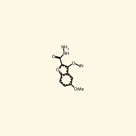 COc1ccc2oc(C(=O)NN)c(OC(C)C)c2c1